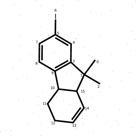 CC1(C)c2cc(I)ccc2C2CCC=CC21